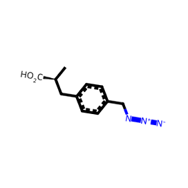 C[C@@H](Cc1ccc(CN=[N+]=[N-])cc1)C(=O)O